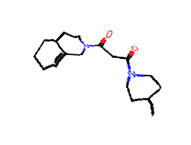 CC1CCN(C(=O)CC(=O)N2CCC3CCCC=C3C2)CC1